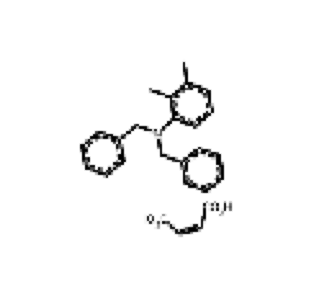 Cc1cccc(N(Cc2ccccc2)Cc2ccccc2)c1C.O=C(O)/C=C\C(=O)O